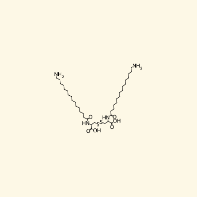 NCCCCCCCCCCCCCCCC(=O)NC(CSSCC(NC(=O)CCCCCCCCCCCCCCCN)C(=O)O)C(=O)O